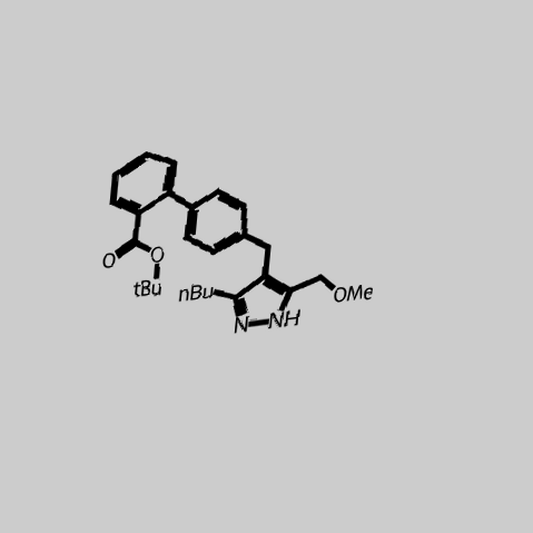 CCCCc1n[nH]c(COC)c1Cc1ccc(-c2ccccc2C(=O)OC(C)(C)C)cc1